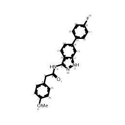 COc1ccc(CC(=O)Nc2n[nH]c3cc(-c4ccc(F)cc4)ccc23)cc1